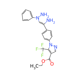 CCOC(=O)c1cnn(-c2ccc(/C(N)=C/N(N)c3ccccc3)cc2)c1C(F)(F)F